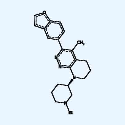 CCN1CCC[C@@H](N2CCCc3c2nnc(-c2ccc4occc4c2)c3C)C1